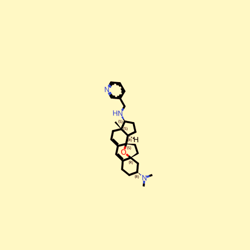 CN(C)[C@@H]1CCC2=CC3=CC[C@]4(C)[C@@H](NCc5cccnc5)CC[C@H]4[C@@]34CC[C@]2(C1)O4